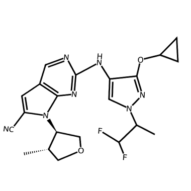 CC(C(F)F)n1cc(Nc2ncc3cc(C#N)n([C@H]4COC[C@@H]4C)c3n2)c(OC2CC2)n1